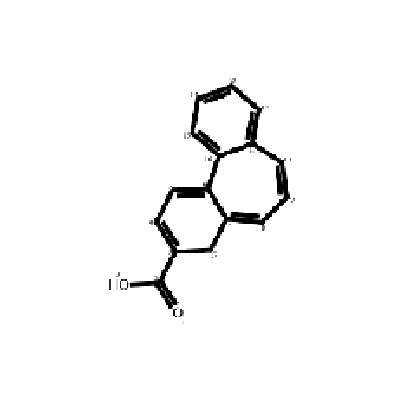 O=C(O)C1=CC=C2C(=CC=Cc3ccccc32)C1